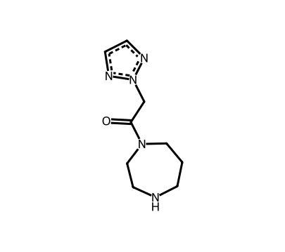 O=C(Cn1nccn1)N1CCCNCC1